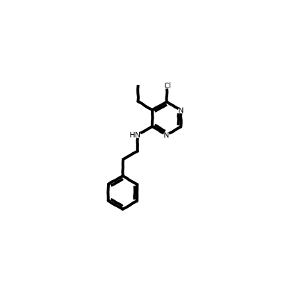 CCc1c(Cl)ncnc1NCCc1ccccc1